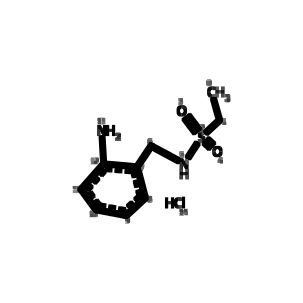 CCS(=O)(=O)NCc1ccccc1N.Cl